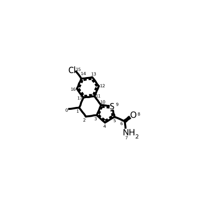 CC1Cc2cc(C(N)=O)sc2-c2ccc(Cl)cc21